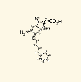 Nc1cc2c(cc1OCCCCc1ccccc1)C(=O)N(CC(=O)O)C2=O